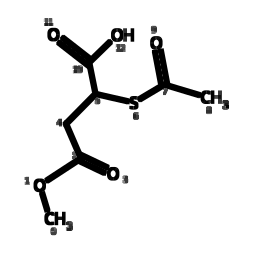 COC(=O)CC(SC(C)=O)C(=O)O